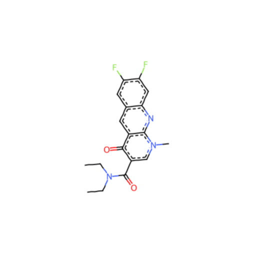 CCN(CC)C(=O)c1cn(C)c2nc3cc(F)c(F)cc3cc2c1=O